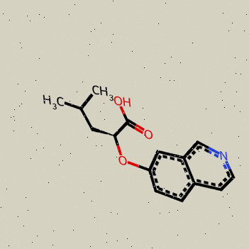 CC(C)C[C@H](Oc1ccc2ccncc2c1)C(=O)O